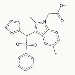 COC(=O)Cn1c(C)c(C(c2cscn2)S(=O)(=O)c2ccccc2)c2cc(F)ccc21